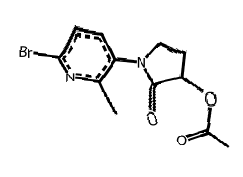 CC(=O)OC1CCN(c2ccc(Br)nc2C)C1=O